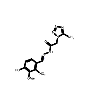 COc1c(O)ccc(/C=N/NC(=O)Cn2nnnc2N)c1[N+](=O)[O-]